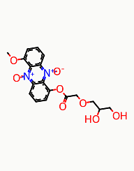 COc1cccc2c1[n+]([O-])c1cccc(OC(=O)COCC(O)CO)c1[n+]2[O-]